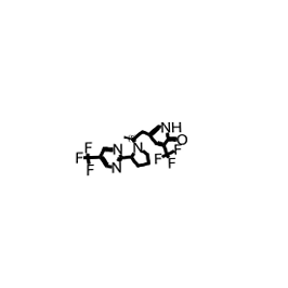 C[C@@H](Cc1c[nH]c(=O)c(C(F)(F)F)c1)N1CCCC1c1ncc(C(F)(F)F)cn1